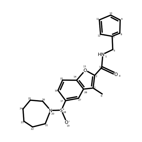 Cc1c(C(=O)NCc2ccccc2)oc2ccc([S+]([O-])N3CCCCCC3)cc12